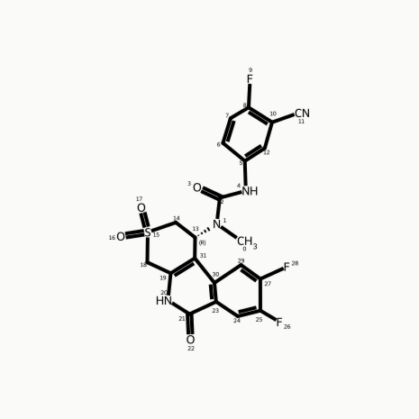 CN(C(=O)Nc1ccc(F)c(C#N)c1)[C@H]1CS(=O)(=O)Cc2[nH]c(=O)c3cc(F)c(F)cc3c21